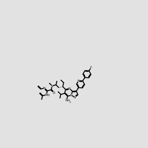 C=C/N=C(\NC(=C)C)C(=O)N(C)C(C)C[C@H](CC)c1nc2c(-c3ccc(-c4ccc(F)cc4)nc3)cnn2c(N)c1C(C)C